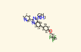 CNc1nc(-c2cccnc2)nc2ccc(-c3ccc(OCCC(F)(F)F)cc3)cc12